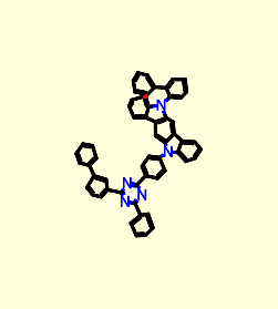 c1ccc(-c2cccc(-c3nc(-c4ccccc4)nc(-c4ccc(-n5c6ccccc6c6cc7c(cc65)c5ccccc5n7-c5ccccc5-c5ccccc5)cc4)n3)c2)cc1